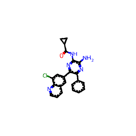 Nc1nc(-c2ccccc2)c(-c2cc(Cl)c3ncccc3c2)nc1NC(=O)C1CC1